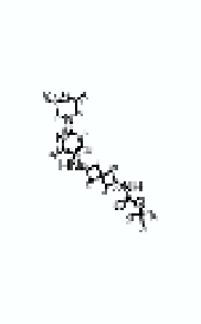 Cc1nc(N2CC(C)SC(C)C2)ccc1NC1CC2(CC(NC(=O)OC(C)(C)C)C2)C1